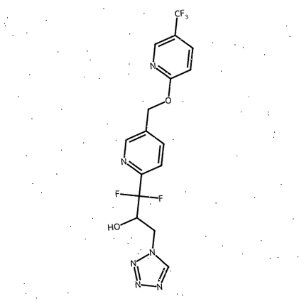 OC(Cn1cnnn1)C(F)(F)c1ccc(COc2ccc(C(F)(F)F)cn2)cn1